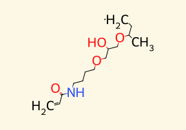 [CH2]CC(C)OCC(O)COCCCCNC(=O)C=C